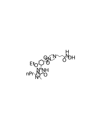 CCCc1nc(C)c2c(=O)[nH]c(-c3cc(S(=O)(=O)N4CCN(CCCC(=O)NO)CC4)ccc3OCC)nn12